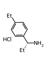 CCc1ccc([C@H](N)CC)cc1.Cl